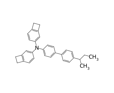 CCC(C)c1ccc(-c2ccc(N(c3ccc4c(c3)CC4)c3ccc4c(c3)CC4)cc2)cc1